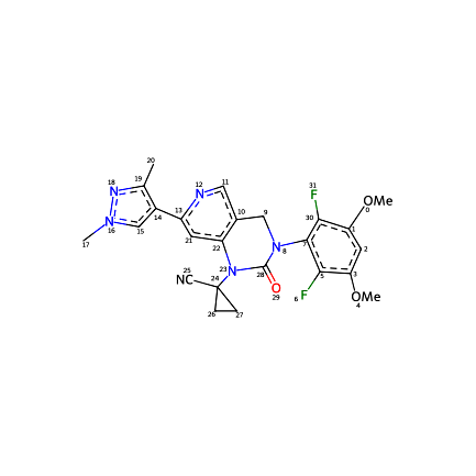 COc1cc(OC)c(F)c(N2Cc3cnc(-c4cn(C)nc4C)cc3N(C3(C#N)CC3)C2=O)c1F